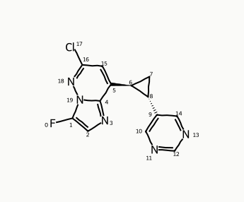 Fc1cnc2c([C@H]3C[C@@H]3c3cncnc3)cc(Cl)nn12